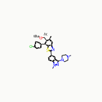 CC(=O)[C@@H](OC(C)(C)C)c1c(C)cc2nc(-c3ccc4c(c3)c(N3CCN(C)CC3)nn4C)sc2c1-c1ccc(Cl)cc1